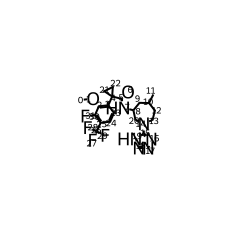 COc1c(C2(C(=O)NC3CC(C)CCN(c4nnn[nH]4)C3)CC2)ccc(C(F)(F)F)c1F